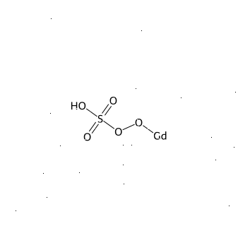 O=S(=O)(O)O[O][Gd]